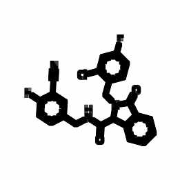 N#Cc1cc(CNC(=O)C2c3ccccc3C(=O)N2Cc2ccc(F)cc2Cl)ccc1F